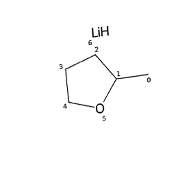 CC1CCCO1.[LiH]